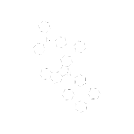 c1ccc(N(c2ccccc2)c2ccc(-c3ccccc3-c3ccc4c5c6ccccc6ccc5n(-c5ccc6c(c5)C(c5ccccc5)(c5ccccc5)c5ccccc5-6)c4c3)cc2)cc1